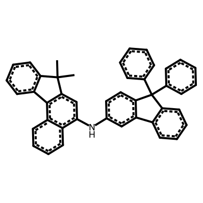 CC1(C)c2ccccc2-c2c1cc(Nc1ccc3c(c1)-c1ccccc1C3(c1ccccc1)c1ccccc1)c1ccccc21